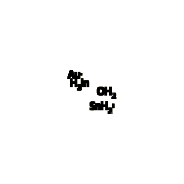 O.[Au].[InH3].[SnH2]